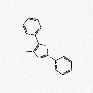 Brc1nc(-c2ccccc2)oc1-c1ccccc1